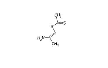 CC(=S)S/C=C(/C)N